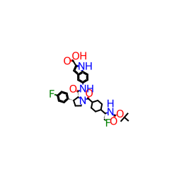 CC(C)(C)OC(=O)N[C@H](CF)C1CCC(C(=O)N2CC[C@H](c3ccc(F)cc3)[C@@H]2C(=O)Nc2ccc3[nH]c(C(=O)O)cc3c2)CC1